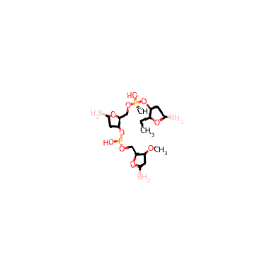 BC1CC(OC)C(COP(O)OC2CC(B)OC2COP(=C)(O)OC2CC(B)OC2CC)O1